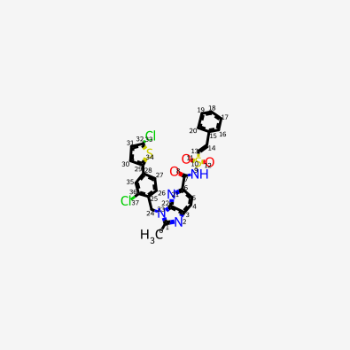 Cc1nc2ccc(C(=O)NS(=O)(=O)/C=C/c3ccccc3)nc2n1Cc1ccc(-c2ccc(Cl)s2)cc1Cl